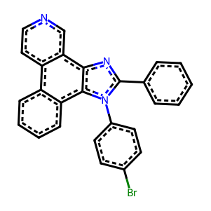 Brc1ccc(-n2c(-c3ccccc3)nc3c4cnccc4c4ccccc4c32)cc1